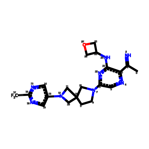 CC(=N)c1ncc(N2CCC3(CN(c4cnc(C(F)(F)F)nc4)C3)C2)nc1NC1COC1